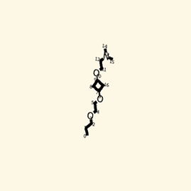 CCCOCCO[C@H]1C[C@H](OCCN(C)C)C1